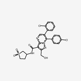 O=C(NC1CCS(=O)(=O)C1)c1c(CO)nn2c(-c3ccc(Cl)cc3)c(-c3ccccc3Cl)cnc12